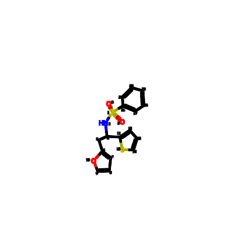 O=S(=O)(NC(Cc1ccco1)c1cccs1)c1ccccc1